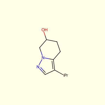 CC(C)c1cnn2c1CCC(O)C2